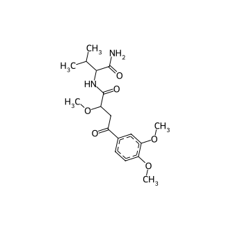 COc1ccc(C(=O)CC(OC)C(=O)NC(C(N)=O)C(C)C)cc1OC